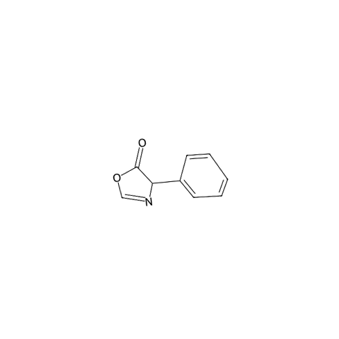 O=C1OC=NC1c1ccccc1